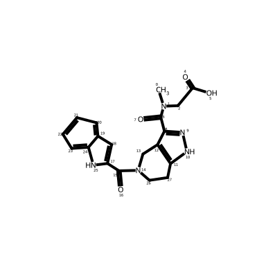 CN(CC(=O)O)C(=O)c1n[nH]c2c1CN(C(=O)c1cc3ccccc3[nH]1)CC2